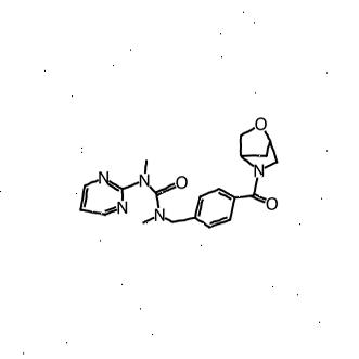 CN(Cc1ccc(C(=O)N2CC3CC2CO3)cc1)C(=O)N(C)c1ncccn1